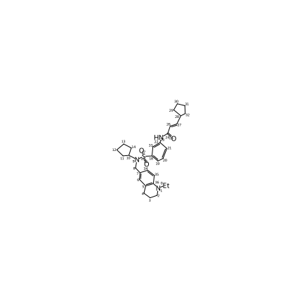 CCN1CCCc2cc(CN(C3CCCC3)S(=O)(=O)c3cccc(NC(=O)C=CC4CCCC4)c3)ccc21